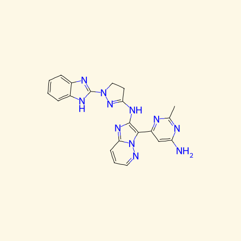 Cc1nc(N)cc(-c2c(NC3=NN(c4nc5ccccc5[nH]4)CC3)nc3cccnn23)n1